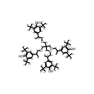 CC(COCC(COCC(C)c1cc(C(C)(C)C)c(O)c(C(C)(C)C)c1)(COCC(C)c1cc(C(C)(C)C)c(O)c(C(C)(C)C)c1)COCC(C)c1cc(C(C)(C)C)c(O)c(C(C)(C)C)c1)c1cc(C(C)(C)C)c(O)c(C(C)(C)C)c1